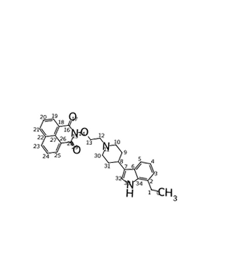 CCc1cccc2c(C3CCN(CCON4C(=O)c5cccc6cccc(c56)C4=O)CC3)c[nH]c12